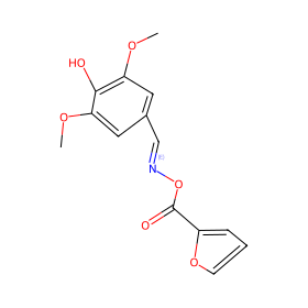 COc1cc(/C=N/OC(=O)c2ccco2)cc(OC)c1O